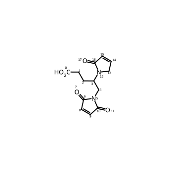 O=C(O)CCC(CN1C(=O)C=CC1=O)N1CC=CC1=O